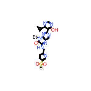 CCn1c(=O)c(NCc2ccc(S(=O)(=O)CC)cn2)nc2cnc(-c3c(O)ncnc3C3CC3)nc21